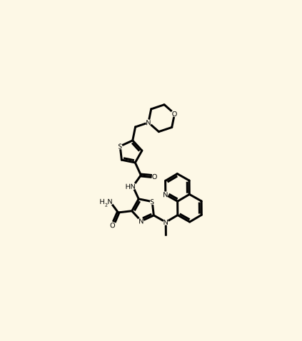 CN(c1nc(C(N)=O)c(NC(=O)c2csc(CN3CCOCC3)c2)s1)c1cccc2cccnc12